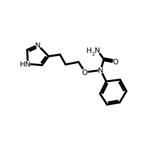 NC(=O)N(OCCCc1c[nH]cn1)c1ccccc1